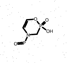 O=PN1C=COP(=O)(O)C1